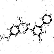 CC[C@@H](NC(=O)c1cc(=O)[nH]c(-c2ccccc2)n1)c1ccc(OC(F)(F)F)cc1